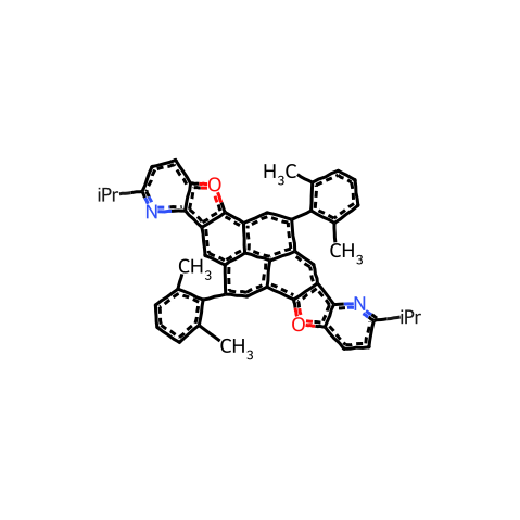 Cc1cccc(C)c1-c1cc2c3oc4ccc(C(C)C)nc4c3cc3c(-c4c(C)cccc4C)cc4c5oc6ccc(C(C)C)nc6c5cc1c4c32